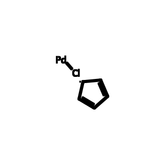 [CH]1C=CC=C1.[Cl][Pd]